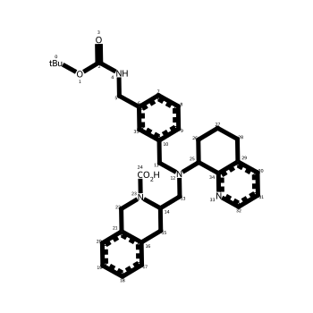 CC(C)(C)OC(=O)NCc1cccc(CN(CC2Cc3ccccc3CN2C(=O)O)C2CCCc3cccnc32)c1